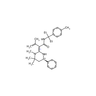 C=C(C)/C(C(=O)NC(CC)(CC)c1ccc(C)cc1)=C1/N[C@@H](c2ccccc2)CC(C)(C)N1C